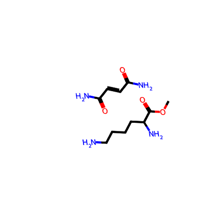 COC(=O)C(N)CCCCN.NC(=O)/C=C/C(N)=O